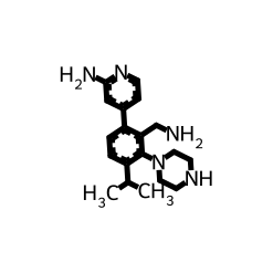 CC(C)c1ccc(-c2ccnc(N)c2)c(CN)c1N1CCNCC1